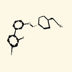 CC(C)C[C@H]1CC[C@H](COc2[c]ccc(-c3ccc(F)cc3F)c2)CC1